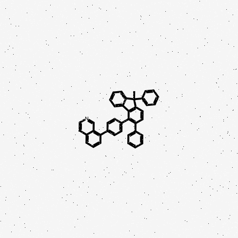 CC1(c2ccccc2)c2ccccc2-c2c1ccc(-c1ccccc1)c2-c1ccc(-c2cccc3ccncc23)cc1